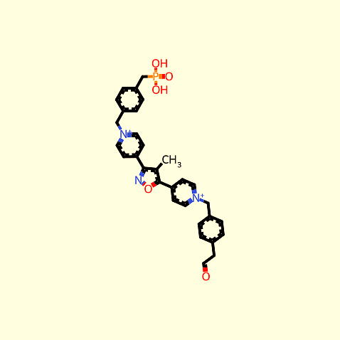 Cc1c(-c2cc[n+](Cc3ccc(CP(=O)(O)O)cc3)cc2)noc1-c1cc[n+](Cc2ccc(CC=O)cc2)cc1